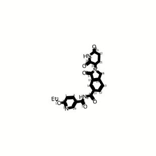 CCOc1ccc(C(=O)NC(=O)c2ccc3c(c2)C(=O)N(C2CCC(=O)NC2=O)C3)cn1